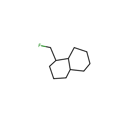 FCC1CCCC2CCCCC12